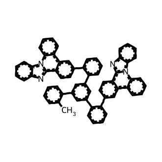 Cc1ccccc1-c1cc(-c2ccccc2-c2ccc3c(c2)c2ccccc2n2c4ccccc4nc32)cc(-c2ccccc2-c2ccc3c(c2)c2ccccc2n2c4ccccc4nc32)c1